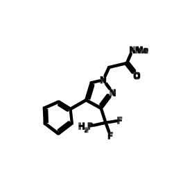 CNC(=O)Cn1cc(-c2ccccc2)c(C(F)(F)P)n1